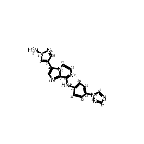 Nn1cc(-c2cnc3c(Nc4ccc(-n5cncn5)cc4)nccn23)cn1